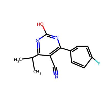 CC(C)c1nc(O)nc(-c2ccc(F)cc2)c1C#N